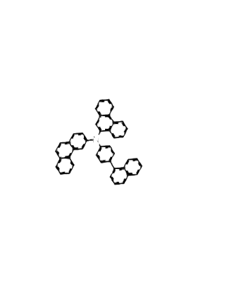 c1ccc2c(-c3ccc(N(c4ccc5ccc6ccccc6c5c4)c4cc5ccccc5c5ccccc45)cc3)cccc2c1